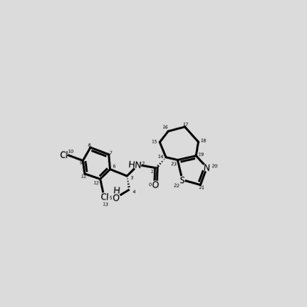 O=C(N[C@H](CO)c1ccc(Cl)cc1Cl)[C@@H]1CCCCc2ncsc21